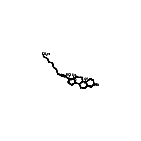 CCOC(=O)CCCCCCCC#C[C@]1(O)CCC2C3CCC4=CC(=O)CC[C@]4(C)C3CC[C@@]21C